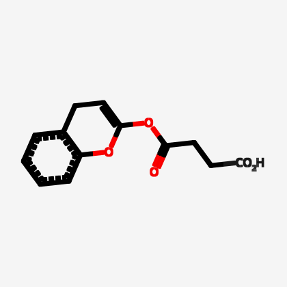 O=C(O)CCC(=O)OC1=CCc2ccccc2O1